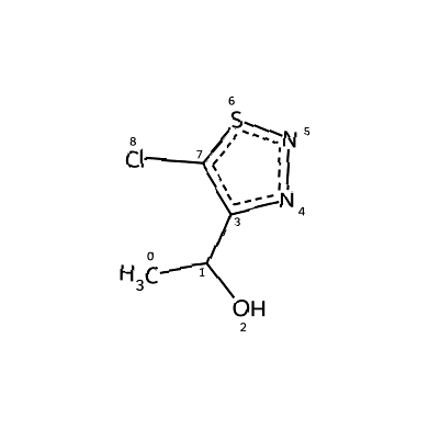 CC(O)c1nnsc1Cl